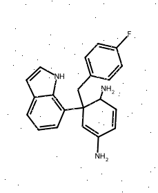 NC1=CC(Cc2ccc(F)cc2)(c2cccc3cc[nH]c23)C(N)C=C1